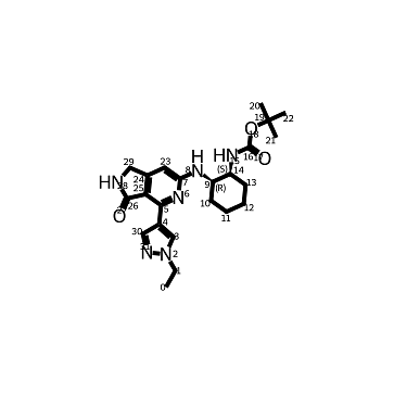 CCn1cc(-c2nc(N[C@@H]3CCCC[C@@H]3NC(=O)OC(C)(C)C)cc3c2C(=O)NC3)cn1